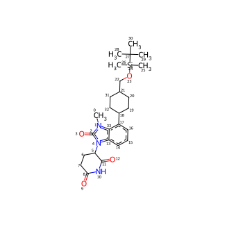 Cn1c(=O)n(C2CCC(=O)NC2=O)c2cccc(C3CCC(CO[Si](C)(C)C(C)(C)C)CC3)c21